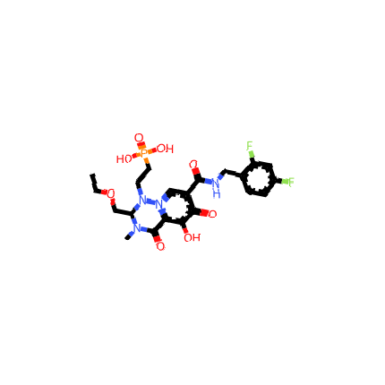 CCOCC1N(C)C(=O)c2c(O)c(=O)c(C(=O)NCc3ccc(F)cc3F)cn2N1CCP(=O)(O)O